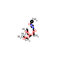 C=CC(=O)OC(C)COCC(COC(C)COC(=O)CCN1CCN(C(=O)c2ccc(C)cc2)CC1)OCC(C)OC(=O)C=C